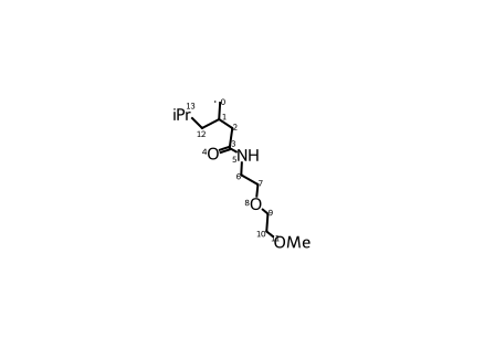 [CH2]C(CC(=O)NCCOCCOC)CC(C)C